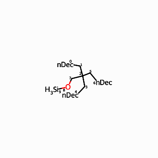 CCCCCCCCCCCC(CCCCCCCCCCC)(CCCCCCCCCCC)CO[SiH3]